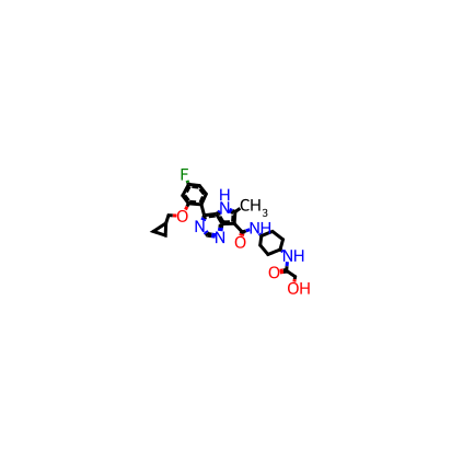 Cc1[nH]c2c(-c3ccc(F)cc3OCC3CC3)ncnc2c1C(=O)NC1CCC(NC(=O)CO)CC1